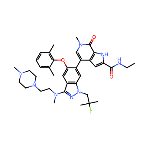 CCNC(=O)c1cc2c(-c3cc4c(cc3Oc3c(C)cccc3C)c(N(C)CCN3CCN(C)CC3)nn4CC(C)(C)F)cn(C)c(=O)c2[nH]1